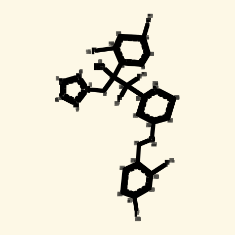 OC(Cn1nnnn1)(c1ccc(F)cc1F)C(F)(F)c1cc(OCc2ccc(F)cc2F)ccn1